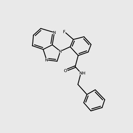 O=C(NCc1ccccc1)c1cccc(F)c1-n1cnc2cccnc21